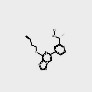 C=CCCOc1nc(-c2ccnc([C@@H](C)NCC)c2)cn2ncnc12